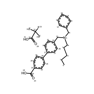 CCCCCN(Cc1ccccc1)Cc1ccc(-c2ccc(C(=O)O)cc2)cc1.O=C(O)C(F)(F)F